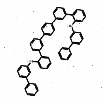 c1ccc(-c2cccc(Nc3ccccc3-c3cccc(-c4ccc(-c5cccc(-c6ccccc6Nc6cccc(-c7ccccc7)c6)c5)cc4)c3)c2)cc1